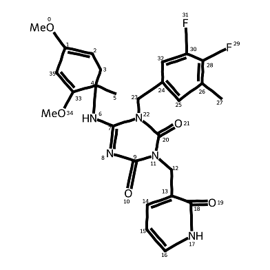 COC1=CCC(C)(Nc2nc(=O)n(Cc3ccc[nH]c3=O)c(=O)n2Cc2cc(C)c(F)c(F)c2)C(OC)=C1